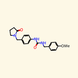 COc1ccc(CNC(=O)Nc2ccc(CN3CCCC3=O)cc2)cc1